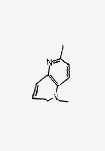 Cc1ccc2c(n1)C=CCN2C